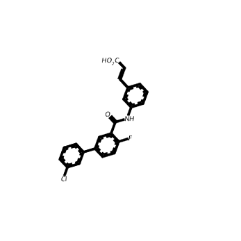 O=C(O)C=Cc1cccc(NC(=O)c2cc(-c3cccc(Cl)c3)ccc2F)c1